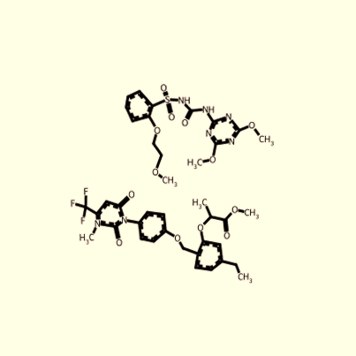 CCc1ccc(COc2ccc(-n3c(=O)cc(C(F)(F)F)n(C)c3=O)cc2)c(OC(C)C(=O)OC)c1.COCCOc1ccccc1S(=O)(=O)NC(=O)Nc1nc(OC)nc(OC)n1